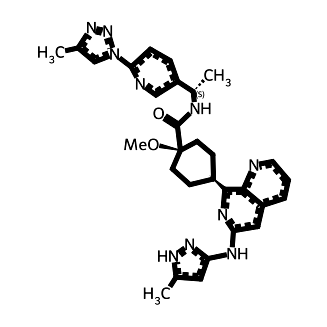 CO[C@]1(C(=O)N[C@@H](C)c2ccc(-n3cc(C)nn3)nc2)CC[C@H](c2nc(Nc3cc(C)[nH]n3)cc3cccnc32)CC1